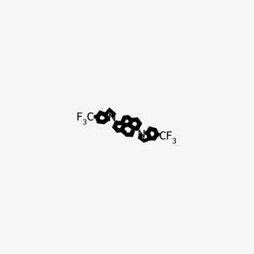 FC(F)(F)c1ccc2c(c1)CCN2c1ccc2ccc3c(N4CCc5cc(C(F)(F)F)ccc54)ccc4ccc1c2c43